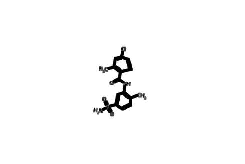 Cc1ccc(S(N)(=O)=O)cc1NC(=O)c1ccc(Cl)cc1C